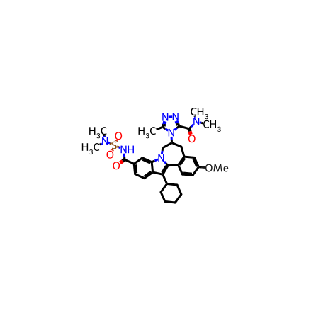 COc1ccc2c(c1)CC(n1c(C)nnc1C(=O)N(C)C)Cn1c-2c(C2CCCCC2)c2ccc(C(=O)NS(=O)(=O)N(C)C)cc21